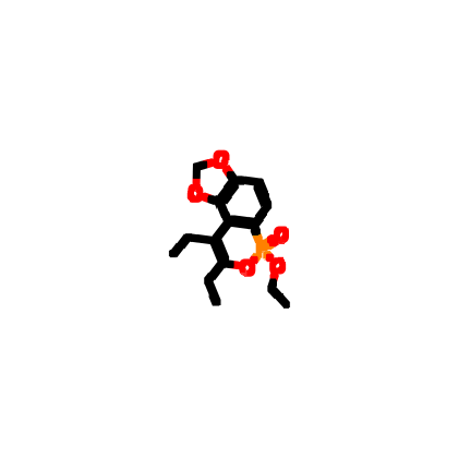 CCOP1(=O)OC(CC)=C(CC)c2c1ccc1c2OCO1